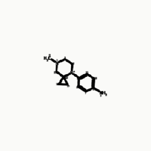 CN1CCN(c2ccc(N)cc2)C2(CC2)C1